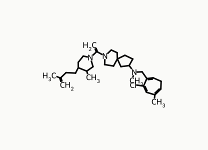 C=C(C)CCC1CCN(C(=C)N2CCC3(CCC(N(C)CC4=CCC=C(C)C=C4Cl)C3)CC2)CC1C